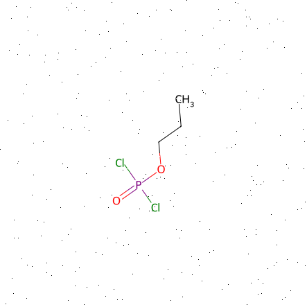 CCCOP(=O)(Cl)Cl